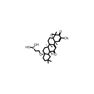 CC1(C)CC[C@]2(OCCB(O)O)CC[C@]3(C)[C@H](C(=O)C=C4[C@@]5(C)C=C(C#N)C(=O)C(C)(C)[C@@H]5CC[C@]43C)C2C1